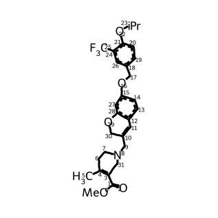 COC(=O)C1=C(C)CCN(CC2=Cc3ccc(OCc4ccc(OC(C)C)c(C(F)(F)F)c4)cc3OC2)C1